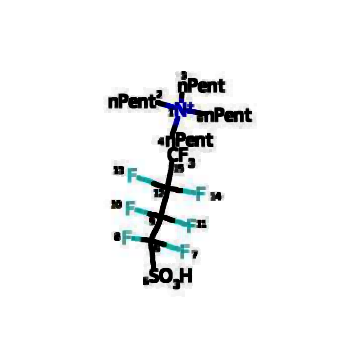 CCCCC[N+](CCCCC)(CCCCC)CCCCC.O=S(=O)(O)C(F)(F)C(F)(F)C(F)(F)C(F)(F)F